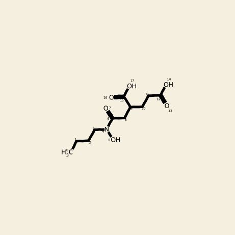 CCCCN(O)C(=O)CC(CCC(=O)O)C(=O)O